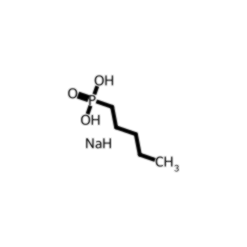 CCCCCP(=O)(O)O.[NaH]